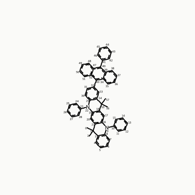 CC1(C)c2ccccc2N(c2ccccc2)c2cc3c(cc21)N(c1ccccc1)c1ccc(-c2c4ccccc4c(-c4ccccc4)c4ccccc24)cc1C3(C)C